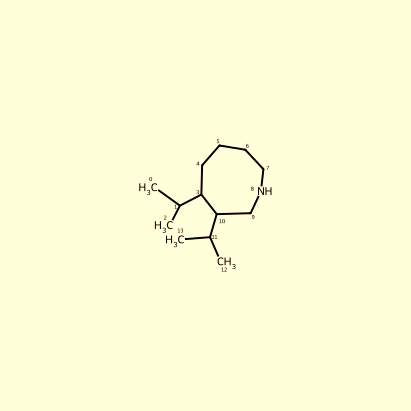 CC(C)C1CCCCNCC1C(C)C